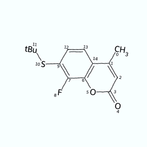 Cc1cc(=O)oc2c(F)c(SC(C)(C)C)ccc12